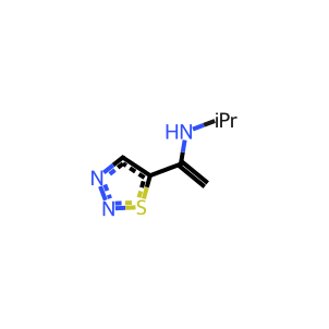 C=C(NC(C)C)c1cnns1